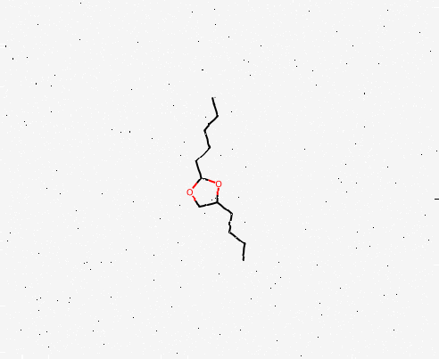 [CH2]CCCCC1OCC(CCCC)O1